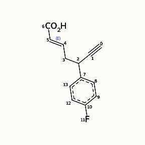 C#CC(C/C=C/C(=O)O)c1ccc(F)cc1